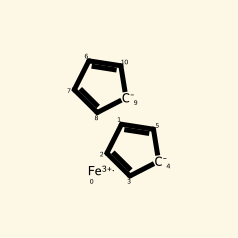 [Fe+3].c1cc[cH-]c1.c1cc[cH-]c1